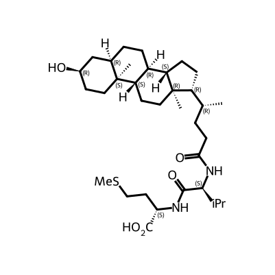 CSCC[C@H](NC(=O)[C@@H](NC(=O)CC[C@@H](C)[C@H]1CC[C@H]2[C@@H]3CC[C@@H]4C[C@H](O)CC[C@]4(C)[C@H]3CC[C@]12C)C(C)C)C(=O)O